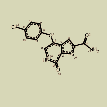 NC(=O)c1cc2c(Oc3ccc(Cl)cc3)c[nH]c(=O)c2s1